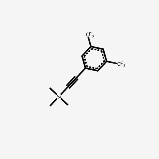 C[Si](C)(C)C#Cc1cc(C(F)(F)F)cc(C(F)(F)F)c1